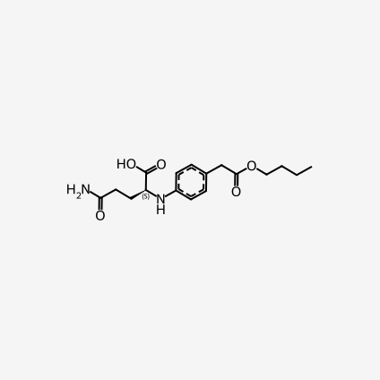 CCCCOC(=O)Cc1ccc(N[C@@H](CCC(N)=O)C(=O)O)cc1